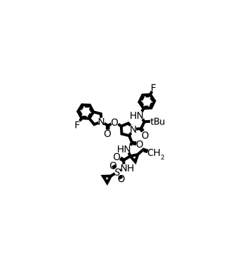 C=CC1CC1(NC(=O)C1CC(OC(=O)N2Cc3cccc(F)c3C2)CN1C(=O)C(Nc1ccc(F)cc1)C(C)(C)C)C(=O)NS(=O)(=O)C1CC1